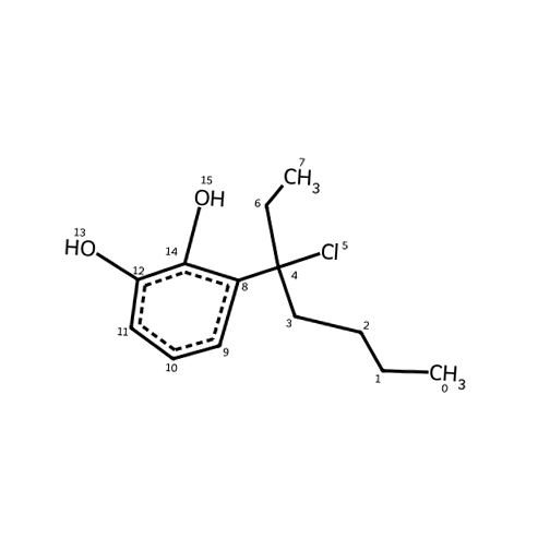 CCCCC(Cl)(CC)c1cccc(O)c1O